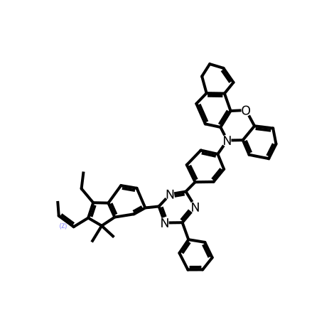 C/C=C\C1=C(CC)c2ccc(-c3nc(-c4ccccc4)nc(-c4ccc(N5c6ccccc6Oc6c5ccc5c6C=CCC5)cc4)n3)cc2C1(C)C